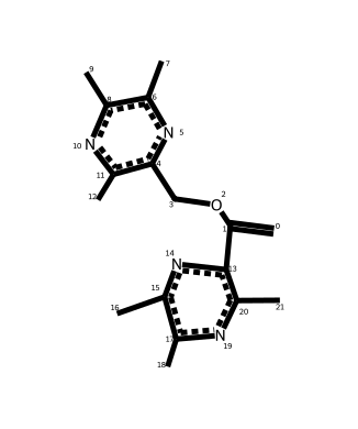 C=C(OCc1nc(C)c(C)nc1C)c1nc(C)c(C)nc1C